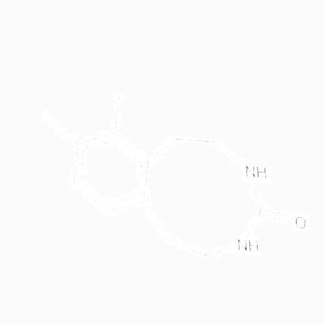 Cc1ccc2c(c1C)CCNC(=O)NCC2